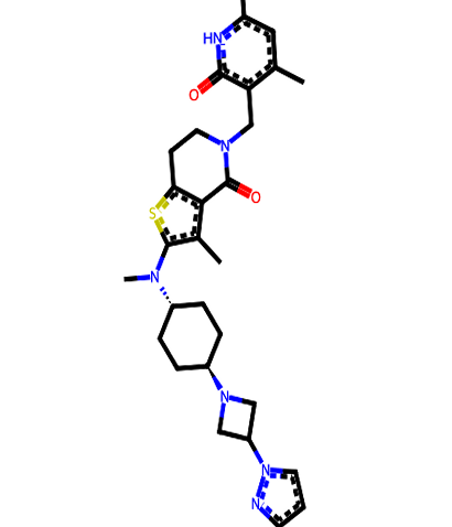 Cc1cc(C)c(CN2CCc3sc(N(C)[C@H]4CC[C@H](N5CC(n6cccn6)C5)CC4)c(C)c3C2=O)c(=O)[nH]1